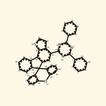 c1ccc(-c2nc(-c3ccccc3)nc(-c3cc4c(c5sccc35)-c3ccccc3C43c4ccccc4Oc4ccccc43)n2)cc1